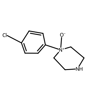 [O-][N+]1(c2ccc(Cl)cc2)CCNCC1